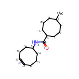 CC(=O)C1CCCC(C(=O)NC2CC/C=C\CCC2)CCC1